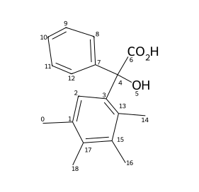 Cc1cc(C(O)(C(=O)O)c2ccccc2)c(C)c(C)c1C